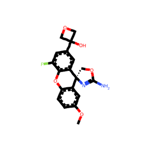 COc1ccc2c(c1)[C@@]1(COC(N)=N1)c1cc(C3(O)COC3)cc(F)c1O2